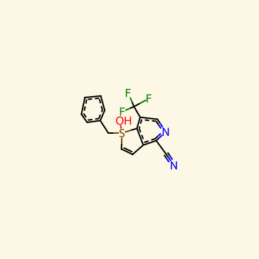 N#Cc1ncc(C(F)(F)F)c2c1C=CS2(O)Cc1ccccc1